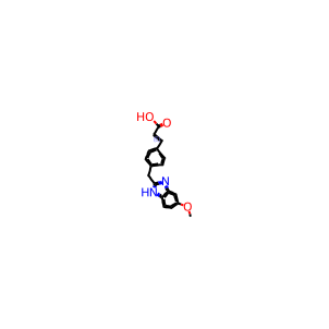 COc1ccc2[nH]c(Cc3ccc(/C=C/C(=O)O)cc3)nc2c1